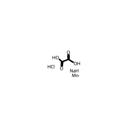 Cl.O=C(O)C(=O)O.[Mn].[NaH]